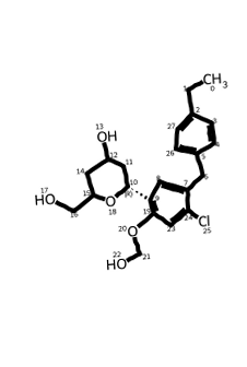 CCc1ccc(Cc2cc([C@H]3CC(O)CC(CO)O3)c(OCO)cc2Cl)cc1